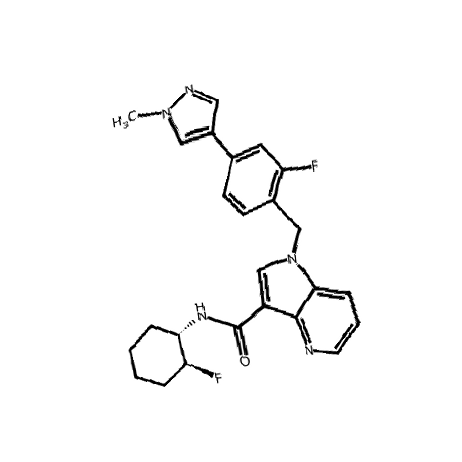 Cn1cc(-c2ccc(Cn3cc(C(=O)N[C@H]4CCCC[C@@H]4F)c4ncccc43)c(F)c2)cn1